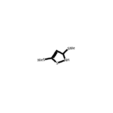 CS[C]1C=C(SC)SN1